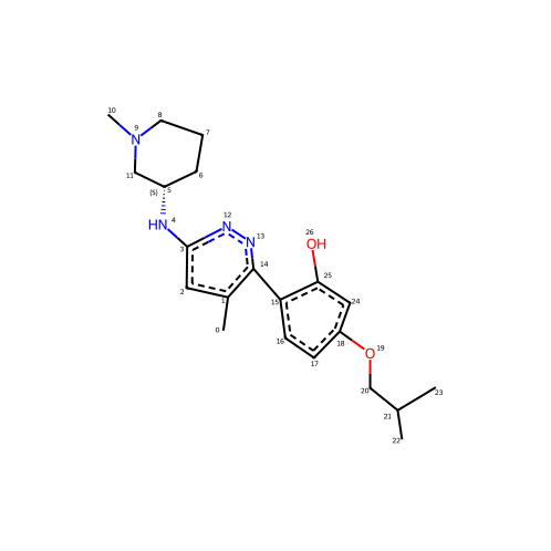 Cc1cc(N[C@H]2CCCN(C)C2)nnc1-c1ccc(OCC(C)C)cc1O